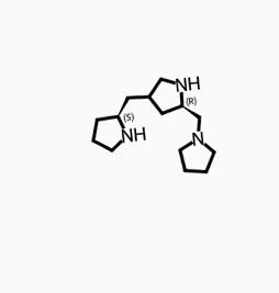 C1CN[C@H](CC2CN[C@@H](CN3CCCC3)C2)C1